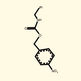 CC(C)CNC(=O)OCc1ccc([N+](=O)[O-])cc1